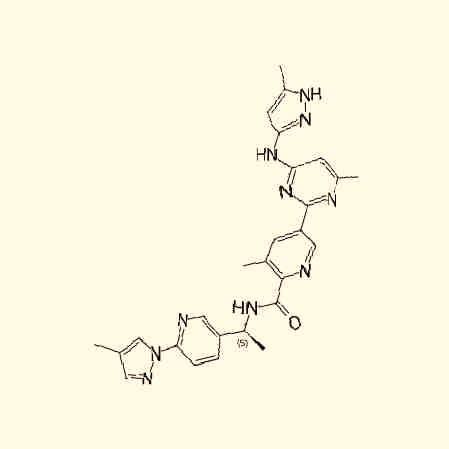 Cc1cnn(-c2ccc([C@H](C)NC(=O)c3ncc(-c4nc(C)cc(Nc5cc(C)[nH]n5)n4)cc3C)cn2)c1